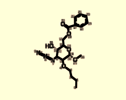 CCCCOC1C(N=[N+]=[N-])[C@H](O)C(COC(=O)c2ccccc2)O[C@@H]1OC